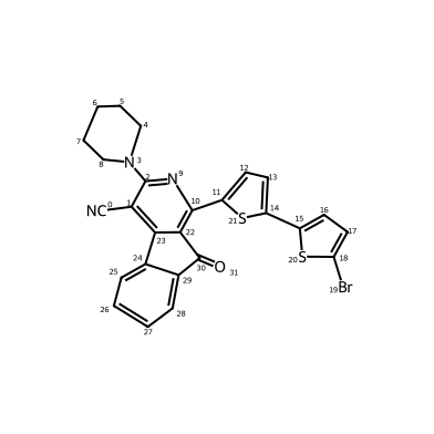 N#Cc1c(N2CCCCC2)nc(-c2ccc(-c3ccc(Br)s3)s2)c2c1-c1ccccc1C2=O